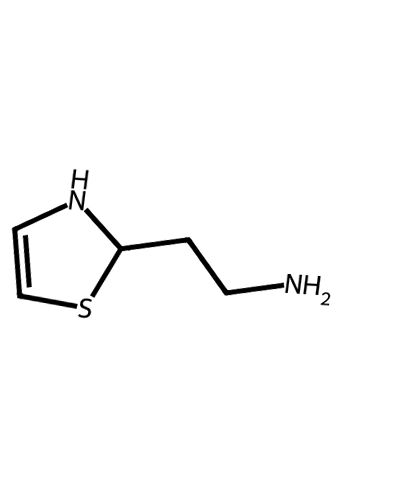 NCC[C]1NC=CS1